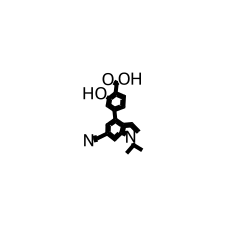 CC(C)n1ccc2c(-c3ccc(C(=O)O)c(O)c3)cc(C#N)cc21